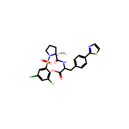 C[C@@]1(C(=O)NC(Cc2ccc(-c3nccs3)cc2)C(=O)O)CCCN1S(=O)(=O)c1cc(Cl)cc(Cl)c1